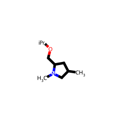 CC1CC(COC(C)C)N(C)C1